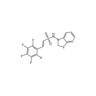 O=S(=O)(C=Cc1c(F)c(F)c(F)c(F)c1F)NN1CSc2ccccc21